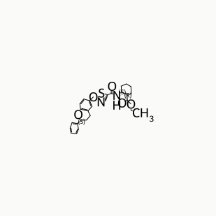 CCOC(=O)[C@@H]1CCCC[C@@H]1NC(=O)c1cnc(Oc2ccc3c(c2)CC[C@@H](c2ccccc2)O3)s1